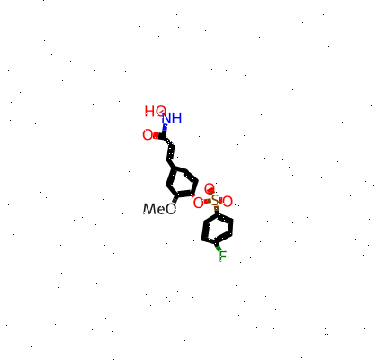 COc1cc(C=CC(=O)NO)ccc1OS(=O)(=O)c1ccc(F)cc1